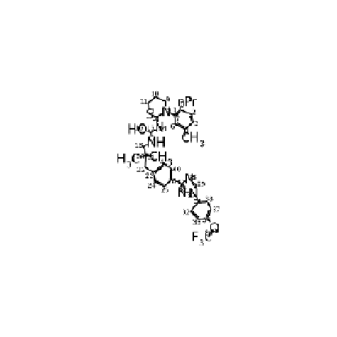 CCCc1ccc(C)cc1N1CCCS/C1=N\C(O)NCC(C)(C)Cc1ccc(-c2ncn(-c3ccc(OC(F)(F)F)cc3)n2)cc1